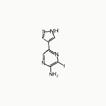 Nc1ncc(-c2cn[nH]c2)nc1I